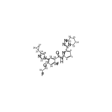 O=C(Nc1cccc(-c2nnc3n2CCCC3)n1)c1cc(-n2cnc(C3CC3)c2)c(OCCF)cc1F